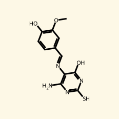 COc1cc(C=Nc2c(N)nc(S)nc2O)ccc1O